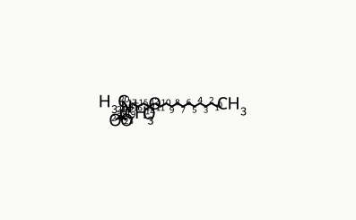 CCCCCCCCCCCCOC(=O)CCC[N+](C)(C)CC(=O)[O-]